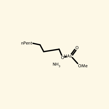 CCCCCCCCO[AsH](=O)OC.N